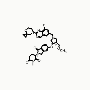 COC[C@@H]1CN(Cc2cc(F)c3nc(N4CCOC5(CC5)C4)ncc3c2)C[C@H]1Oc1ccc2c(c1)CN([C@H]1CCC(=O)NC1=O)C2=O